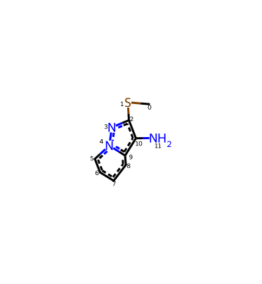 CSc1nn2ccccc2c1N